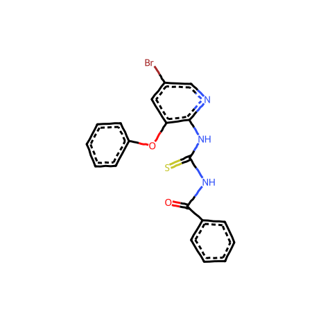 O=C(NC(=S)Nc1ncc(Br)cc1Oc1ccccc1)c1ccccc1